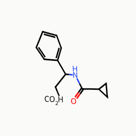 O=C(O)CC(NC(=O)C1CC1)c1ccccc1